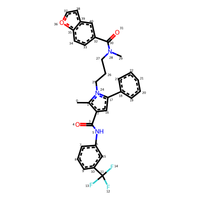 Cc1c(C(=O)Nc2cccc(C(F)(F)F)c2)cc(-c2ccccc2)n1CCCN(C)C(=O)c1ccc2occc2c1